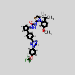 COc1ccc(C(C)C)c(N2CCS/C2=N\C(=O)NC2=C(c3ccc(-c4ncn(-c5ccc(OC(F)(F)F)cc5)n4)cc3)CCC2)c1